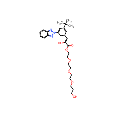 CC(C)(C)C1=CC(C=C(O)C(=O)OCCOCCOCCOCCCO)CC(n2nc3ccccc3n2)=C1